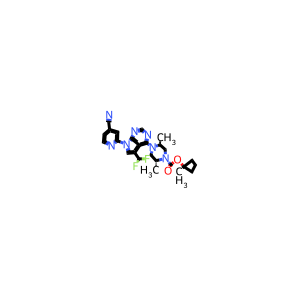 C[C@@H]1CN(c2ncnc3c2c(C(F)F)cn3-c2cc(C#N)ccn2)[C@@H](C)CN1C(=O)OC1(C)CCC1